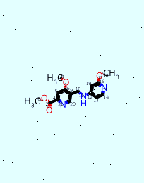 COC(=O)c1cc(OC)c(CNc2ccnc(OC)c2)cn1